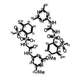 COc1nc(NC(=O)NS(=O)(=O)C2=C(S(C)(=O)=O)C(=S)CC=C2)nc(OC)n1.Cc1nc(C)nc(NC(=O)NS(=O)(=O)C2=C(S(C)(=O)=O)C(=S)CC=C2)n1